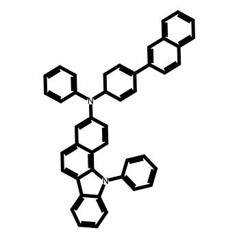 C1=CC(N(c2ccccc2)c2ccc3c(ccc4c5ccccc5n(-c5ccccc5)c34)c2)CC=C1c1ccc2ccccc2c1